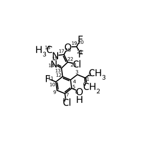 C=C(C)Cc1c(O)c(Cl)cc(F)c1-c1nn(C)c(OC(F)F)c1Cl